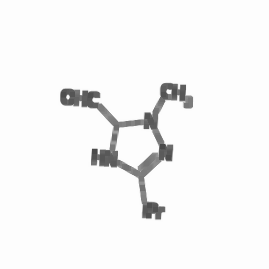 CC(C)C1=NN(C)C(C=O)N1